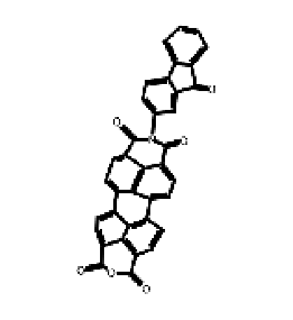 O=C1c2ccccc2-c2ccc(N3C(=O)c4ccc5c6ccc7c8c(ccc(c9ccc(c4c59)C3=O)c86)C(=O)OC7=O)cc21